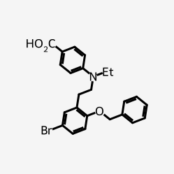 CCN(CCc1cc(Br)ccc1OCc1ccccc1)c1ccc(C(=O)O)cc1